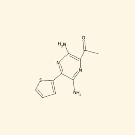 CC(=O)c1nc(N)c(-c2cccs2)nc1N